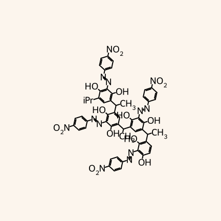 CC(C)c1cc(C(C)c2cc(C(C)c3cc(C(C)c4ccc(O)c(N=Nc5ccc([N+](=O)[O-])cc5)c4O)c(O)c(N=Nc4ccc([N+](=O)[O-])cc4)c3O)c(O)c(N=Nc3ccc([N+](=O)[O-])cc3)c2O)c(O)c(N=Nc2ccc([N+](=O)[O-])cc2)c1O